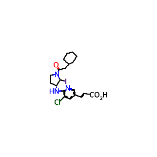 O=C(O)C=Cc1cnc(N[C@@H]2CCN(C(=O)CC3CCCCC3)C2I)c(Cl)c1